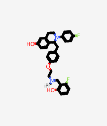 CC(C)N(CCOc1ccc(CC2c3ccc(O)cc3CCN2c2ccc(F)cc2)cc1)Cc1c(O)cccc1F